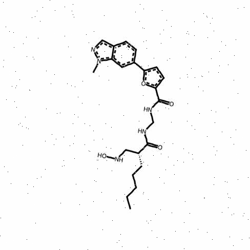 CCCCC[C@H](CNO)C(=O)NCNC(=O)c1ccc(-c2ccc3cnn(C)c3c2)o1